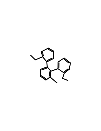 [CH2]c1cccc(-c2ccccc2CC)c1-c1ccccc1CC